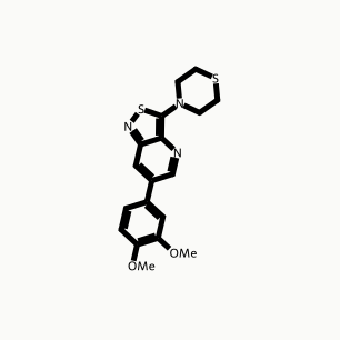 COc1ccc(-c2cnc3c(N4CCSCC4)snc3c2)cc1OC